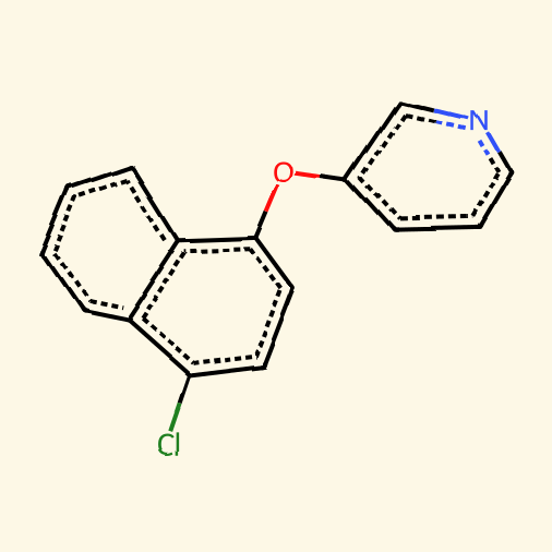 Clc1ccc(Oc2cccnc2)c2ccccc12